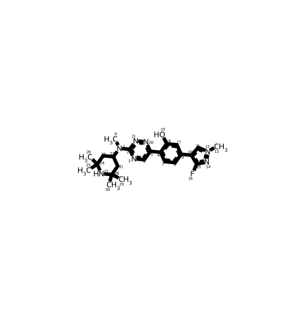 CN(c1ncc(-c2ccc(-c3cn(C)nc3F)cc2O)nn1)C1CC(C)(C)NC(C)(C)C1